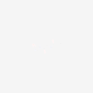 CCC(=O)NCC(=O)N/C=C\P